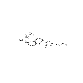 COCC1CN(c2ccc3cc(OC(C)S(C)(=O)=O)ccc3c2)C(=O)O1